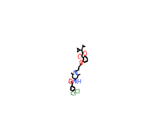 CC1CC(NC(=O)c2ccc(Cl)c(Cl)c2)CC(C)N1CCCCOc1cccc2c1C(=O)C(=C(C1CC1)C1CC1)O2